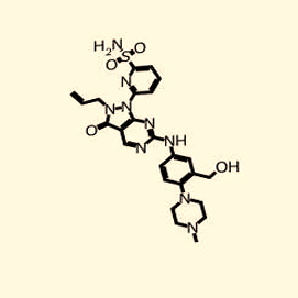 C=CCn1c(=O)c2cnc(Nc3ccc(N4CCN(C)CC4)c(CO)c3)nc2n1-c1cccc(S(N)(=O)=O)n1